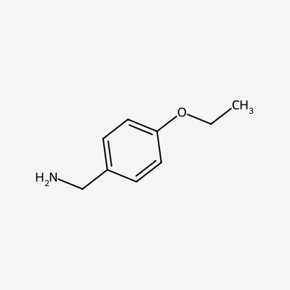 CCOc1ccc(CN)cc1